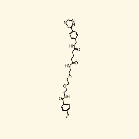 O=C(CCCC(=O)NCc1ccc(-c2nncnn2)cc1)NCCOCCOCCNC(=O)c1ccc(SI)cc1